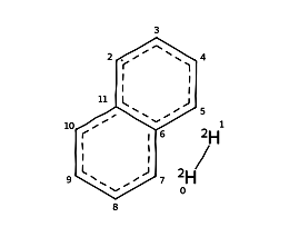 [2H][2H].[c]1cccc2ccccc12